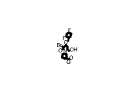 COC(=O)c1cccc(-n2c(CO)cc(OCc3ccc(F)cc3F)c(Br)c2=O)c1